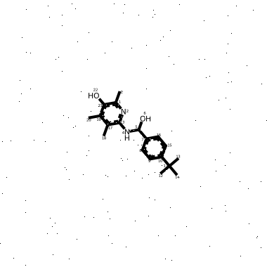 Cc1nc(NC(O)c2ccc(C(C)(C)C)cc2)c(C)c(C)c1O